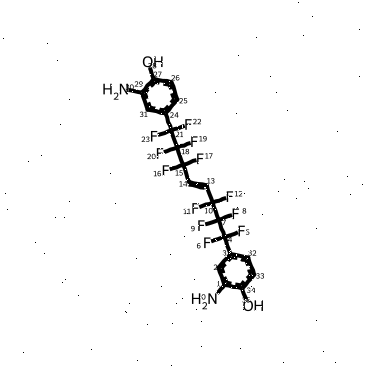 Nc1cc(C(F)(F)C(F)(F)C(F)(F)C=CC(F)(F)C(F)(F)C(F)(F)c2ccc(O)c(N)c2)ccc1O